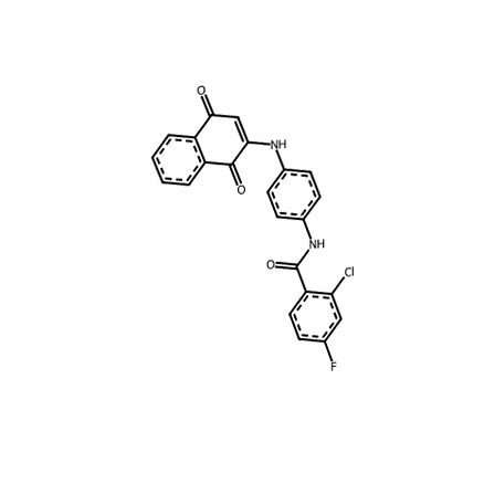 O=C(Nc1ccc(NC2=CC(=O)c3ccccc3C2=O)cc1)c1ccc(F)cc1Cl